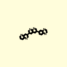 c1cnc2cc(-c3cnc4ncc(-c5ccc6nccnc6c5)cc4c3)cnc2c1